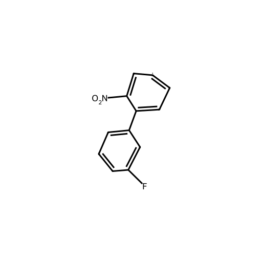 O=[N+]([O-])c1c[c]ccc1-c1cccc(F)c1